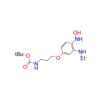 CCNc1cc(OCCCNC(=O)OC(C)(C)C)ccc1NO